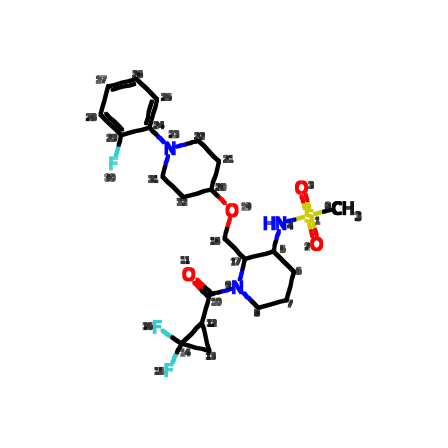 CS(=O)(=O)NC1CCCN(C(=O)C2CC2(F)F)C1COC1CCN(c2ccccc2F)CC1